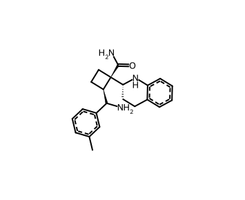 Cc1cccc(C(N)[C@H]2CC[C@]2(C(N)=O)[C@H]2CCc3ccccc3N2)c1